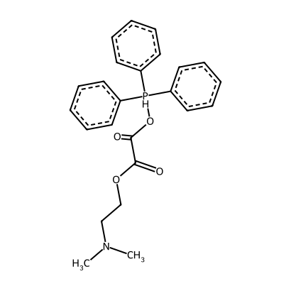 CN(C)CCOC(=O)C(=O)O[PH](c1ccccc1)(c1ccccc1)c1ccccc1